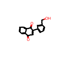 O=C1C=C(c2cccc(CO)c2)C(=O)c2ccccc21